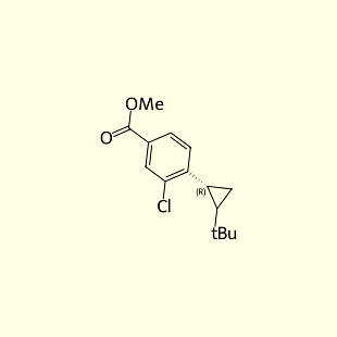 COC(=O)c1ccc([C@@H]2CC2C(C)(C)C)c(Cl)c1